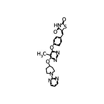 Cc1c(Oc2ccc(/C=C3/SC(=O)NC3=O)cc2)ncnc1OC1CCN(c2ncccn2)CC1